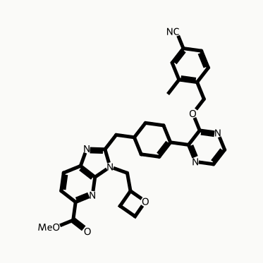 COC(=O)c1ccc2nc(CC3CC=C(c4nccnc4OCc4ccc(C#N)cc4C)CC3)n(CC3CCO3)c2n1